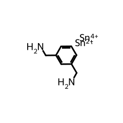 NCc1cccc(CN)c1.[Sn+2].[Sn+4]